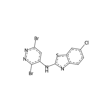 Clc1ccc2nc(Nc3cc(Br)nnc3Br)sc2c1